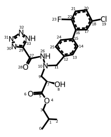 CC(C)COC(=O)[C@H](O)CN(Cc1ccc(-c2cc(Cl)ccc2F)cc1)NC(=O)c1nnn[nH]1